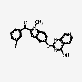 Cn1c(C(=O)c2cccc(F)c2)cc2cc(Oc3nc(O)c4ccncc4n3)ccc21